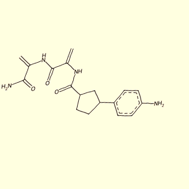 C=C(NC(=O)C(=C)NC(=O)C1CCC(c2ccc(N)cc2)C1)C(N)=O